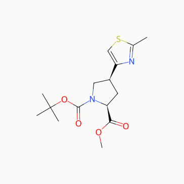 COC(=O)[C@@H]1C[C@H](c2csc(C)n2)CN1C(=O)OC(C)(C)C